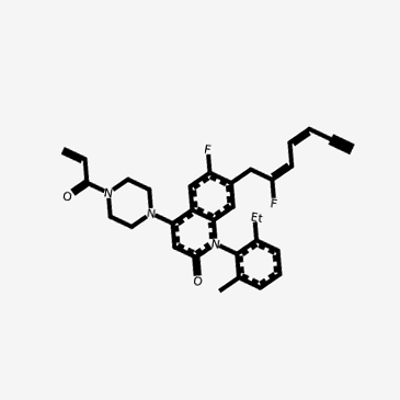 C#C/C=C\C=C(\F)Cc1cc2c(cc1F)c(N1CCN(C(=O)C=C)CC1)cc(=O)n2-c1c(C)cccc1CC